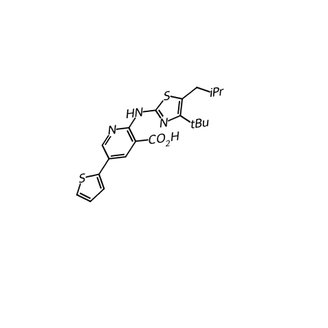 CC(C)Cc1sc(Nc2ncc(-c3cccs3)cc2C(=O)O)nc1C(C)(C)C